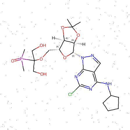 CC1(C)O[C@@H]2[C@H](O1)[C@@H](COC(CO)(CO)P(C)(C)=O)O[C@H]2n1ncc2c(NC3CCCC3)nc(Cl)nc21